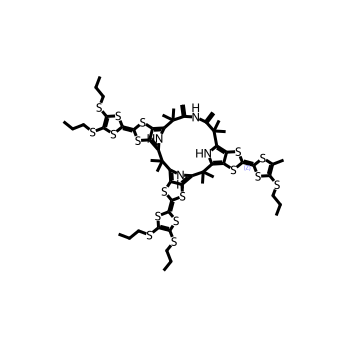 C=C1NC(=C)C(C)(C)c2[nH]c(c3c2S/C(=C2\SC(C)=C(SCCC)S2)S3)C(C)(C)c2[nH]c(c3c2SC(=C2SC(SCCC)=C(SCCC)S2)S3)C(C)(C)c2[nH]c(c3c2SC(=C2SC(SCCC)=C(SCCC)S2)S3)C1(C)C